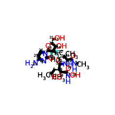 CNC(=O)[C@@H](NC(=O)[C@H](CC(C)C)[C@H](O)C(=O)NO)C(C)(C)C.Nc1ccn([C@@H]2O[C@H](CO)[C@@H](O)C2(F)F)c(=O)n1